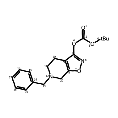 CC(C)(C)OC(=O)Oc1noc2c1CCN(Cc1ccccc1)C2